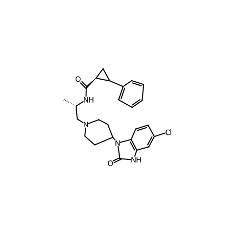 C[C@@H](CN1CCC(n2c(=O)[nH]c3cc(Cl)ccc32)CC1)NC(=O)[C@H]1CC1c1ccccc1